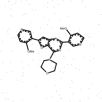 COc1ccncc1-c1nc(N2CCOCC2)c2oc(-c3cnccc3OC)cc2n1